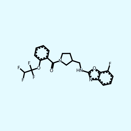 O=C(c1ccccc1OC(F)(F)C(F)F)N1CCC(CNc2nc3cccc(F)c3o2)C1